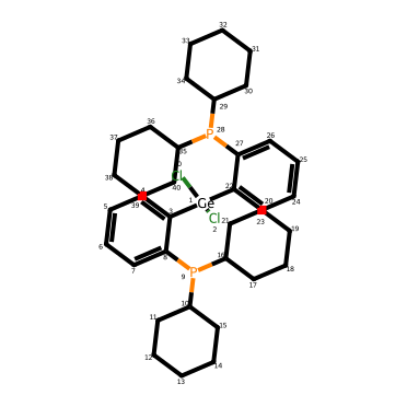 [Cl][Ge]([Cl])([c]1ccccc1P(C1CCCCC1)C1CCCCC1)[c]1ccccc1P(C1CCCCC1)C1CCCCC1